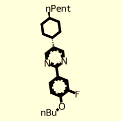 CCCCC[C@H]1CC[C@H](c2cnc(-c3ccc(OCCCC)c(F)c3)nc2)CC1